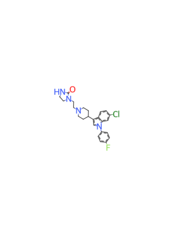 O=C1NCCN1CCN1CCC(c2cn(-c3ccc(F)cc3)c3cc(Cl)ccc23)CC1